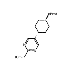 CCCCC[C@H]1CC[C@H](c2cnc(CO)nc2)CC1